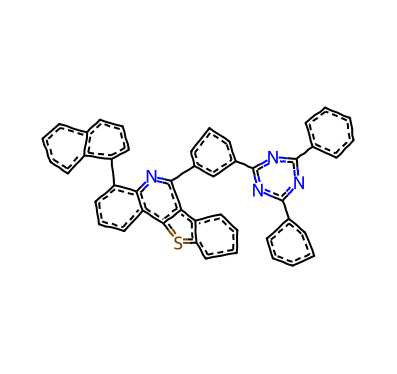 c1ccc(-c2nc(-c3ccccc3)nc(-c3cccc(-c4nc5c(-c6cccc7ccccc67)cccc5c5sc6ccccc6c45)c3)n2)cc1